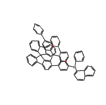 c1ccc(-c2ccc(N(c3ccccc3-c3ccccc3)c3c(-c4ccc(N(c5ccccc5)c5cccc6ccccc56)cc4)ccc4c3C3(c5ccccc5-c5ccccc53)c3ccccc3-4)cc2)cc1